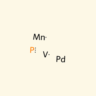 [Mn].[P].[Pd].[V]